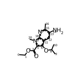 CCOC(=O)c1c(OC(C)C)c2cc(N)c(C)nc2n1C